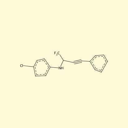 FC(F)(F)C(C#Cc1ccccc1)Nc1ccc(Cl)cc1